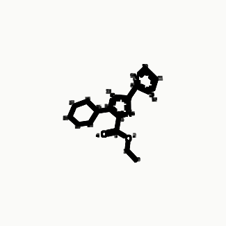 CCOC(=O)c1nc(-c2nccs2)sc1C1CCCCC1